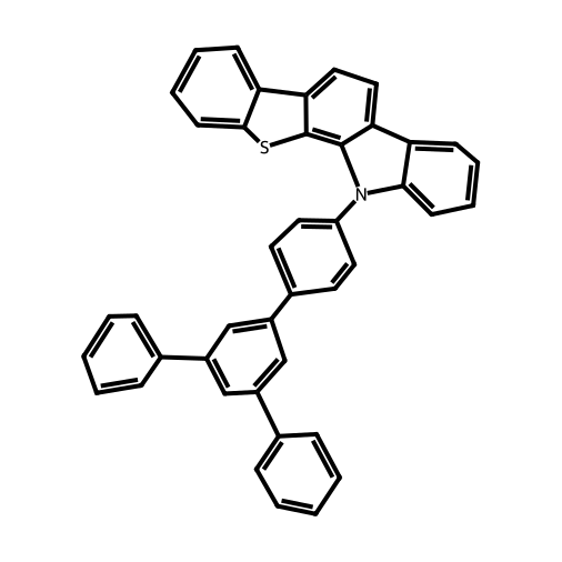 c1ccc(-c2cc(-c3ccccc3)cc(-c3ccc(-n4c5ccccc5c5ccc6c7ccccc7sc6c54)cc3)c2)cc1